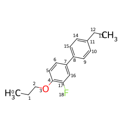 CCCOc1ccc(-c2ccc(CC)cc2)cc1F